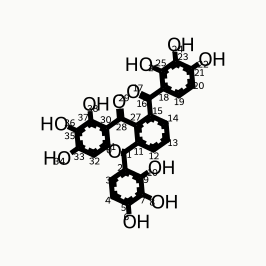 O=C(c1ccc(O)c(O)c1O)c1cccc(C(=O)c2ccc(O)c(O)c2O)c1C(=O)c1ccc(O)c(O)c1O